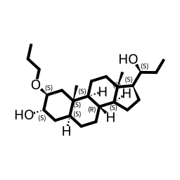 CCCO[C@H]1C[C@@]2(C)[C@@H](CC[C@@H]3[C@@H]2CC[C@]2(C)[C@@H]([C@@H](O)CC)CC[C@@H]32)C[C@@H]1O